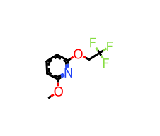 COc1cccc(OCC(F)(F)F)n1